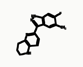 Cc1cc2c(-c3ccc4c(n3)CCCN4)n[nH]c2cc1F